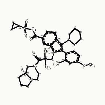 COc1ccc(-c2c(C3CCCCC3)c3ccc(C(=O)NS(=O)(=O)C4CC4)cc3n2CC(C)(C)C(=O)N2CCN3CCC[C@H]3C2)c(C)c1